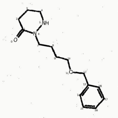 O=C1CCCNN1CCCCOCc1ccccc1